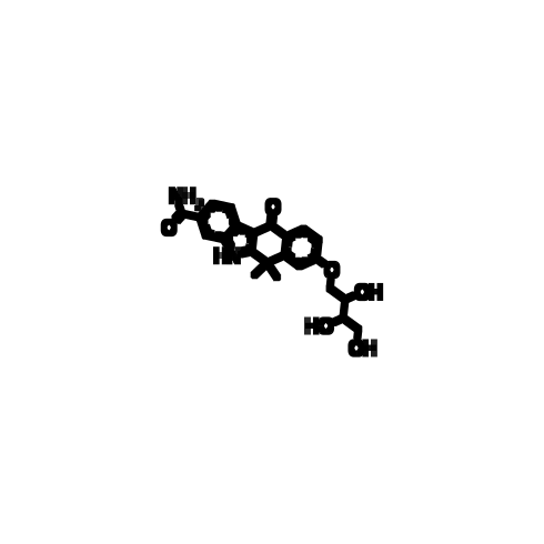 CC1(C)c2cc(OCC(O)C(O)CO)ccc2C(=O)c2c1[nH]c1cc(C(N)=O)ccc21